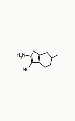 CC1CCc2c(sc(N)c2C#N)C1